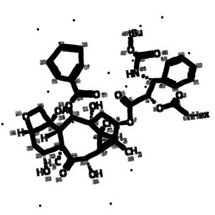 CCCCCCC(=O)O[C@H](C(=O)O[C@@H]1C[C@]2(O)[C@H](OC(=O)c3ccccc3)[C@H]3[C@@]4(OC(C)=O)CO[C@H]4C[C@@H](O)[C@]3(C)C(=O)[C@@H](O)C(=C1C)C2(C)C)[C@H](NC(=O)OC(C)(C)C)c1ccccc1